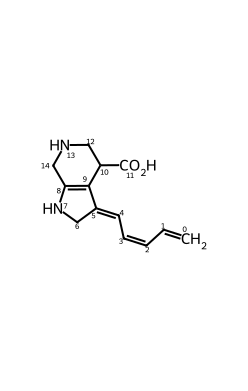 C=C/C=C\C=C1/CNC2=C1C(C(=O)O)CNC2